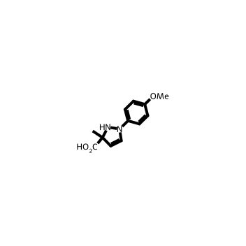 COc1ccc(N2C=CC(C)(C(=O)O)N2)cc1